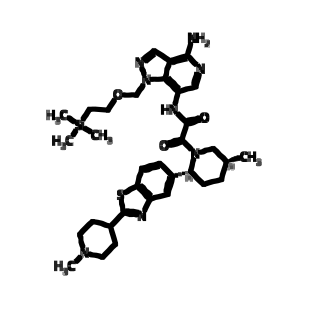 C[C@H]1CC[C@H](c2ccc3sc(C4CCN(C)CC4)nc3c2)N(C(=O)C(=O)Nc2cnc(N)c3cnn(COCC[Si](C)(C)C)c23)C1